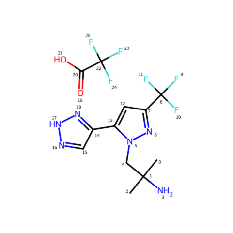 CC(C)(N)Cn1nc(C(F)(F)F)cc1-c1cn[nH]n1.O=C(O)C(F)(F)F